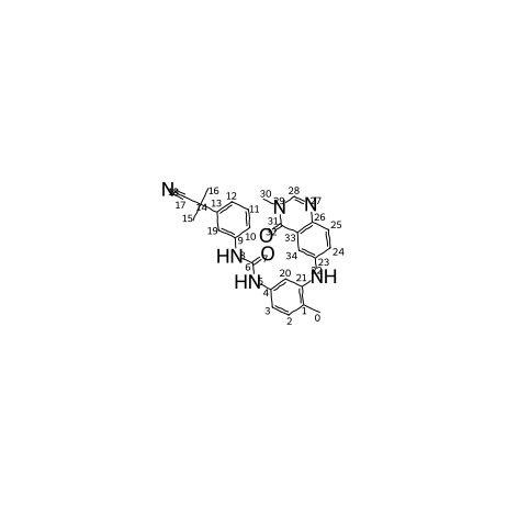 Cc1ccc(NC(=O)Nc2cccc(C(C)(C)C#N)c2)cc1Nc1ccc2ncn(C)c(=O)c2c1